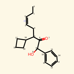 CC/C=C\CC(C(=O)C(O)c1ccccc1)C1CCC1